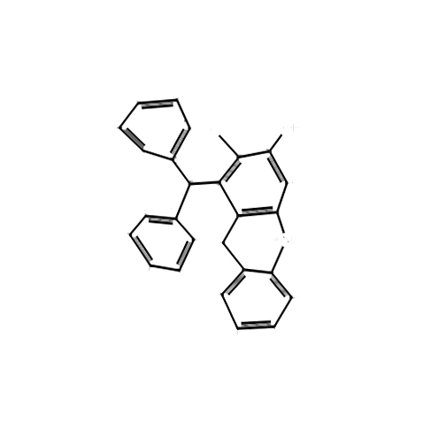 Cc1c(O)cc2c(c1C(c1ccccc1)c1ccccc1)Cc1ccccc1N2